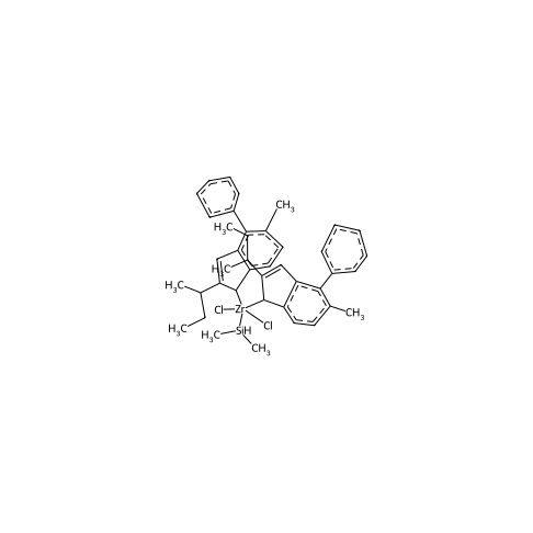 CCC(C)C1=Cc2c(ccc(C)c2-c2ccccc2)[CH]1[Zr]([Cl])([Cl])([CH]1C(C(C)CC)=Cc2c1ccc(C)c2-c1ccccc1)[SiH](C)C